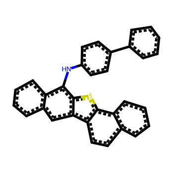 c1ccc(-c2ccc(Nc3c4ccccc4cc4c3sc3c5ccccc5ccc43)cc2)cc1